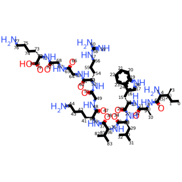 CC[C@H](C)[C@H](N)C(=O)N[C@@H](C)C(=O)N[C@@H](Cc1c[nH]c2ccccc12)C(=O)N[C@@H](CC(C)C)C(=O)N[C@H](C(=O)N[C@@H](CCCCN)C(=O)NCC(=O)N[C@@H](CCCNC(=N)N)C(=O)NCC(=O)NCC(=O)N[C@@H](CCCCN)C(=O)O)C(C)C